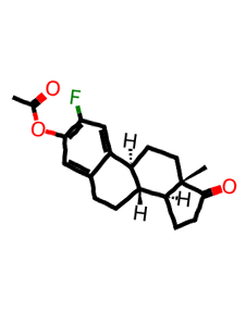 CC(=O)Oc1cc2c(cc1F)[C@H]1CC[C@]3(C)C(=O)CC[C@H]3[C@@H]1CC2